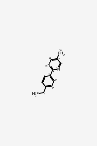 PCc1ccc(-c2ncc(P)cn2)cc1